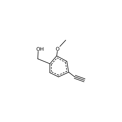 C#Cc1ccc(CO)c(OC)c1